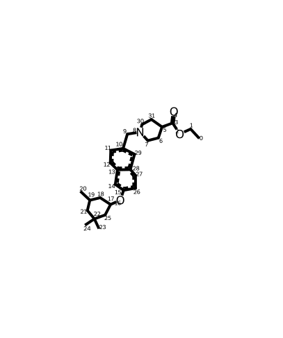 CCOC(=O)C1CCN(Cc2ccc3cc(OC4CC(C)CC(C)(C)C4)ccc3c2)CC1